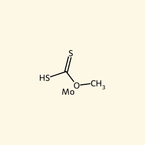 COC(=S)S.[Mo]